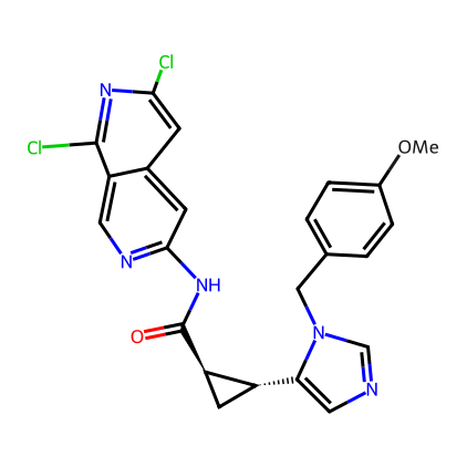 COc1ccc(Cn2cncc2[C@@H]2C[C@H]2C(=O)Nc2cc3cc(Cl)nc(Cl)c3cn2)cc1